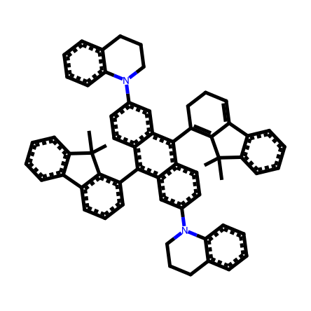 CC1(C)C2=C(c3c4cc(N5CCCc6ccccc65)ccc4c(-c4cccc5c4C(C)(C)c4ccccc4-5)c4cc(N5CCCc6ccccc65)ccc34)CCC=C2c2ccccc21